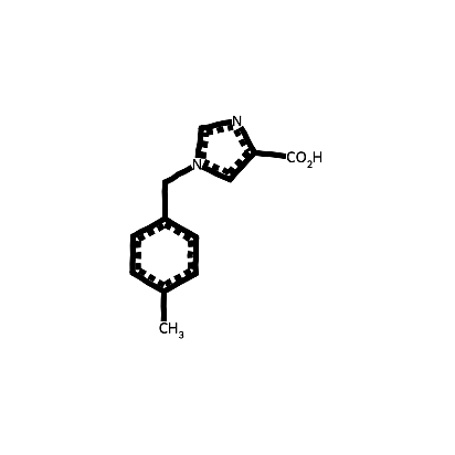 Cc1ccc(Cn2cnc(C(=O)O)c2)cc1